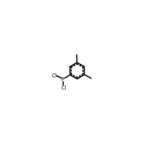 Cc1cc(C)cc(P(Cl)Cl)c1